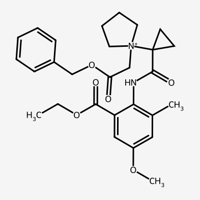 CCOC(=O)c1cc(OC)cc(C)c1NC(=O)C1([N+]2(CC(=O)OCc3ccccc3)CCCC2)CC1